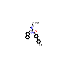 CCc1ccc(-c2ccc(C(=O)N[C@@H](Cc3ccc4ccccc4c3)CN(C)CCNC)cc2)cc1